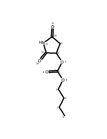 CCCCOC(=O)OC1CC(=O)NC1=O